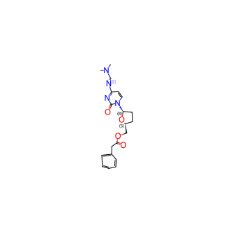 CN(C)/C=N/c1ccn([C@H]2CC[C@@H](COC(=O)Cc3ccccc3)O2)c(=O)n1